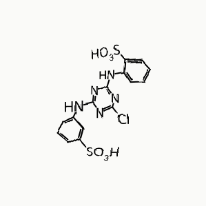 O=S(=O)(O)c1cccc(Nc2nc(Cl)nc(Nc3ccccc3S(=O)(=O)O)n2)c1